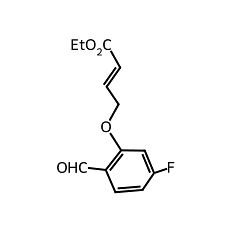 CCOC(=O)/C=C/COc1cc(F)ccc1C=O